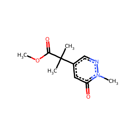 COC(=O)C(C)(C)c1cnn(C)c(=O)c1